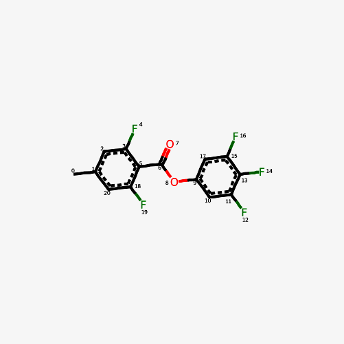 Cc1cc(F)c(C(=O)Oc2cc(F)c(F)c(F)c2)c(F)c1